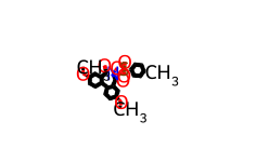 COc1ccc2c(c1)c(=O)n(OS(=O)(=O)c1ccc(C)cc1)c(=O)c1cc(OC)ccc12